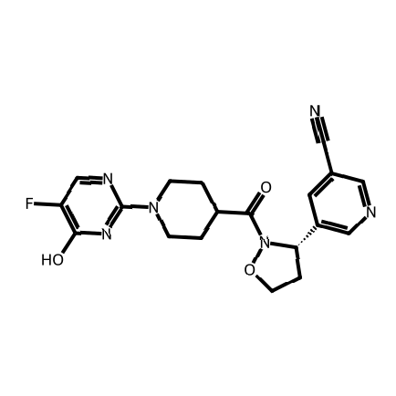 N#Cc1cncc([C@@H]2CCON2C(=O)C2CCN(c3ncc(F)c(O)n3)CC2)c1